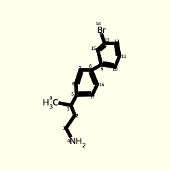 CC(CCN)c1ccc(-c2cccc(Br)c2)cc1